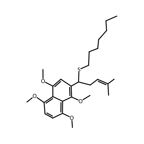 CCCCCCCSC(CC=C(C)C)c1cc(OC)c2c(OC)ccc(OC)c2c1OC